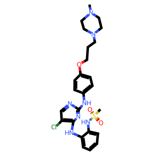 CN1CCN(CCCOc2ccc(Nc3ncc(Cl)c(Nc4ccccc4NS(C)(=O)=O)n3)cc2)CC1